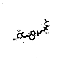 C=C1/C(=C\C=C2/CCC[C@]3(C)[C@@H](C(C)(C)/C=C/[C@H](O)C(C)(C)C(=O)OC(C)C)CC[C@@H]23)C[C@@H](O)C[C@@H]1O